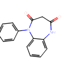 O=C1CC(=O)N(c2ccccc2)c2ccccc2N1